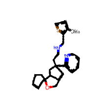 COc1ccsc1CNCCC1(c2ccccn2)CC2COC3(CCCC3)C2C1